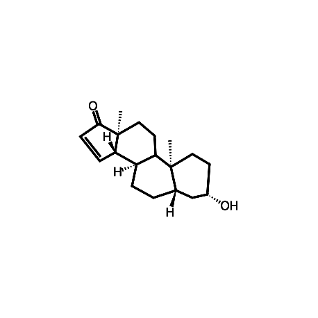 C[C@]12CCC3[C@@H](CC[C@H]4C[C@@H](O)CC[C@]34C)[C@@H]1C=CC2=O